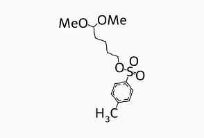 COC(CCCCOS(=O)(=O)c1ccc(C)cc1)OC